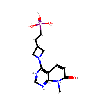 Cn1c(=O)ccc2c(N3CC(CCP(=O)(O)O)C3)ncnc21